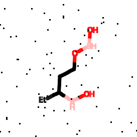 CCC(BO)CCOBO